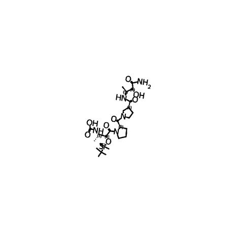 C[C@H](NC(=O)[C@H]1CCN(C(=O)[C@H]2CCCN2C(=O)[C@H](O[Si](C)(C)C(C)(C)C)[C@H](C)NC(=O)O)C1)[C@@H](O)C(N)=O